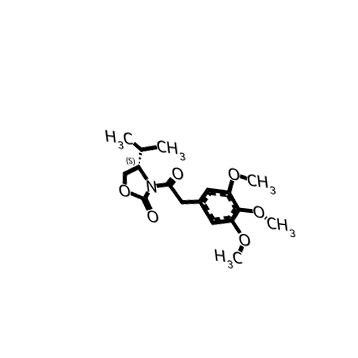 COc1cc(CC(=O)N2C(=O)OC[C@@H]2C(C)C)cc(OC)c1OC